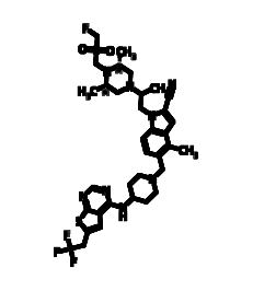 Cc1c(CN2CCC(Nc3ncnc4sc(CC(F)(F)F)cc34)CC2)ccc2c1cc(C#N)n2CC(C)N1C[C@@H](C)N(CS(=O)(=O)CF)[C@H](C)C1